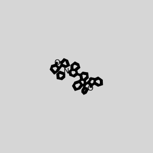 c1ccc(N(c2ccc(-c3cccc4c3-c3ccccc3C43c4ccccc4Oc4c3ccc3ccccc43)c3ccccc23)c2cccc3oc4ccccc4c23)cc1